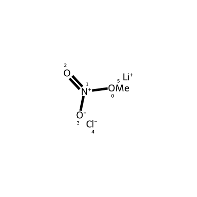 CO[N+](=O)[O-].[Cl-].[Li+]